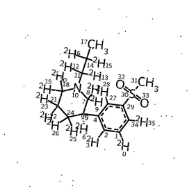 [2H]c1c([2H])c([C@]2([2H])C([2H])([2H])N(C([2H])([2H])C([2H])([2H])C)C([2H])([2H])C([2H])([2H])C2([2H])[2H])c([2H])c(S(C)(=O)=O)c1[2H]